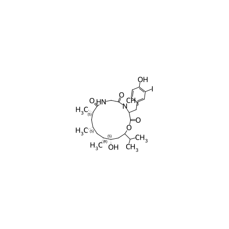 CC(C)C1C[C@H](O)[C@H](C)C[C@H](C)C[C@H](C)C(=O)NCC(=O)N(C)C(Cc2ccc(O)c(I)c2)C(=O)O1